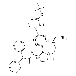 CC[C@H](NC(=O)OC(C)(C)C)C(=O)N[C@@H]1C(=O)N2[C@@H](CC[C@@H]1CN)CC[C@H]2C(=O)NC(c1ccccc1)c1ccccc1